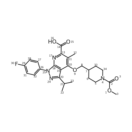 COC(=O)N1CCC(COc2c(C)c(C(=O)O)nc3c2c(C(C)C)nn3-c2ccc(F)cc2)CC1